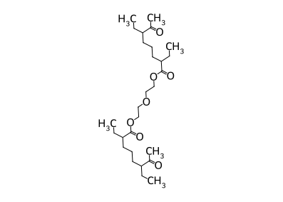 CCC(CCCC(CC)C(=O)OCCOCCOC(=O)C(CC)CCCC(CC)C(C)=O)C(C)=O